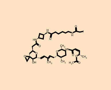 CC(=O)O[C@@H](C)/C=C\C(=O)N[C@@H]1C[C@H](C)[C@H](C/C=C(C)/C=C/[C@H]2O[C@H](CC(=O)N[C@H]3C[C@H](NC(=O)CCCCCNC(=O)CI)C3)C[C@@]3(CO3)[C@@H]2O)O[C@@H]1C